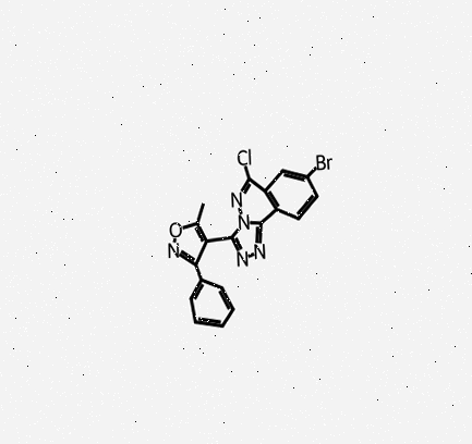 Cc1onc(-c2ccccc2)c1-c1nnc2c3ccc(Br)cc3c(Cl)nn12